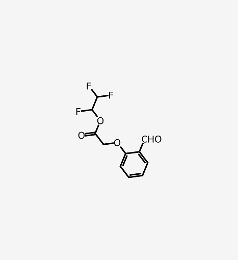 O=Cc1ccccc1OCC(=O)OC(F)C(F)F